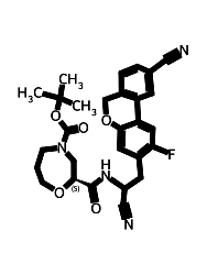 CC(C)(C)OC(=O)N1CCCO[C@H](C(=O)NC(C#N)Cc2cc3c(cc2F)-c2cc(C#N)ccc2CO3)C1